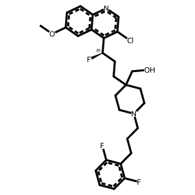 COc1ccc2ncc(Cl)c([C@H](F)CCC3(CO)CCN(CCCc4c(F)cccc4F)CC3)c2c1